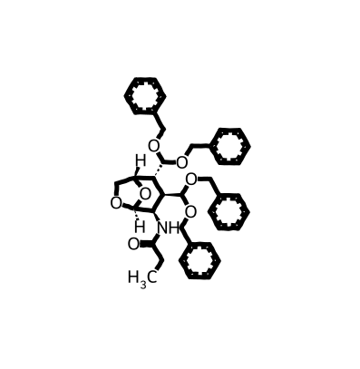 CCC(=O)N[C@H]1[C@H]2OC[C@@H](O2)[C@H](C(OCc2ccccc2)OCc2ccccc2)[C@H]1C(OCc1ccccc1)OCc1ccccc1